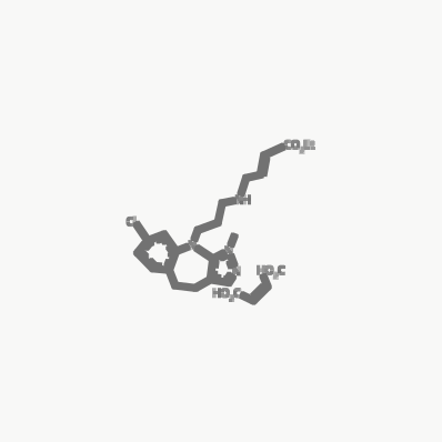 CCOC(=O)/C=C/CNCCCN1c2cc(Cl)ccc2CCc2cnn(C)c21.O=C(O)/C=C\C(=O)O